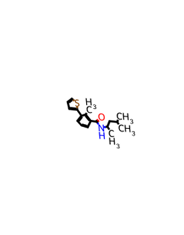 Cc1c(C(=O)NC(C)CC(C)C)cccc1-c1cccs1